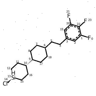 Fc1cc(CCC2CCC([C@H]3CC[Si@H](Cl)CC3)CC2)cc(F)c1F